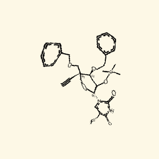 C#C[C@]1(COCc2ccccc2)O[C@@H](n2cc(F)c(=O)[nH]c2=O)C(O[Si](C)(C)C)[C@@H]1OCc1ccccc1